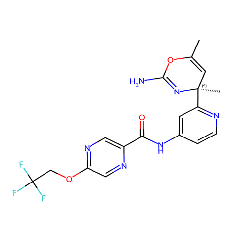 CC1=C[C@@](C)(c2cc(NC(=O)c3cnc(OCC(F)(F)F)cn3)ccn2)N=C(N)O1